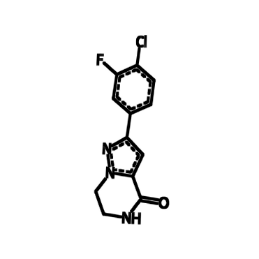 O=C1NCCn2nc(-c3ccc(Cl)c(F)c3)cc21